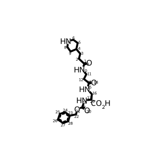 O=C(CCC1CCNCC1)NCCC(=O)NC[C@H](NC(=O)OCc1ccccc1)C(=O)O